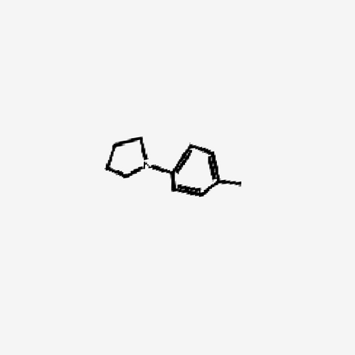 Cc1ccc(N2CCCC2)cc1